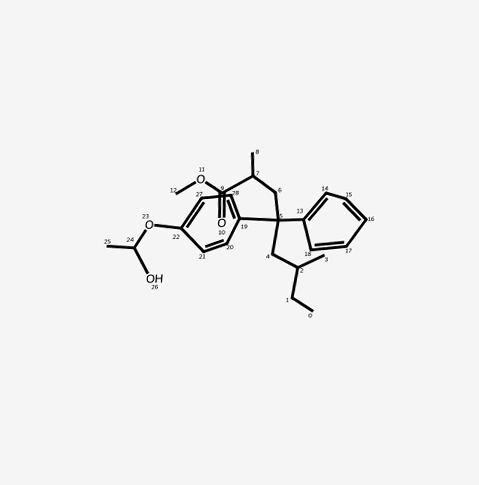 CCC(C)CC(CC(C)C(=O)OC)(c1ccccc1)c1ccc(OC(C)O)cc1